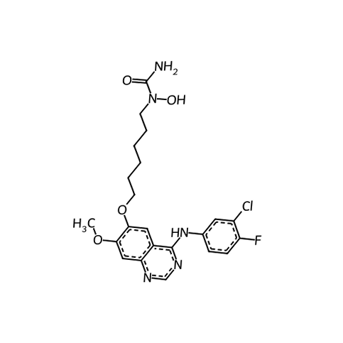 COc1cc2ncnc(Nc3ccc(F)c(Cl)c3)c2cc1OCCCCCCN(O)C(N)=O